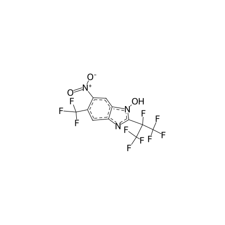 O=[N+]([O-])c1cc2c(cc1C(F)(F)F)nc(C(F)(C(F)(F)F)C(F)(F)F)n2O